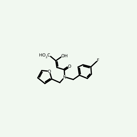 O=C(O)C(O)=CC(=O)N(Cc1ccc(F)cc1)Cc1ccco1